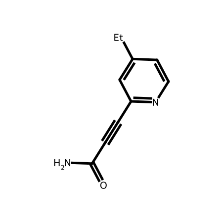 CCc1ccnc(C#CC(N)=O)c1